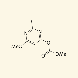 COC(=O)Oc1cc(OC)nc(C)n1